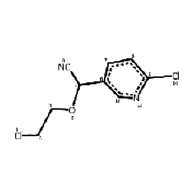 N#CC(OCCCl)c1ccc(Cl)nc1